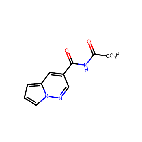 O=C(O)C(=O)NC(=O)c1cnn2cccc2c1